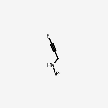 CC(C)NCC#CF